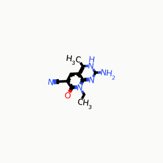 CCn1c(=O)c(C#N)cc2c1=NC(N)NC=2C